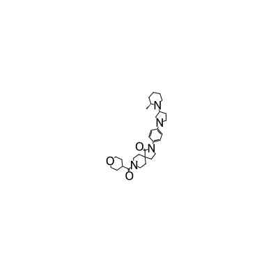 C[C@H]1CCCCN1C1CCN(c2ccc(N3CCC4(CCN(C(=O)C5CCOCC5)CC4)C3=O)cc2)C1